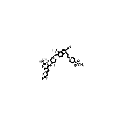 CNc1nc(NC2CCN(Cc3ccc4c(cc(C#N)n4CCN4CCC(S(C)(=O)=O)CC4)c3C)CC2)c2cc(CC(F)(F)F)sc2n1